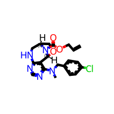 C=CCOC(=O)N1[C@H]2CNc3ncnc(N(C)Cc4ccc(Cl)cc4)c3[C@@H]1OC2